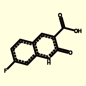 O=C(O)c1cc2ccc(F)cc2[nH]c1=O